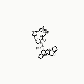 Cn1cc(-c2cncc(CN3CCN(C[C@@H](O)C[C@@H](Cc4ccccc4)C(=O)N[C@H]4c5ccccc5OC[C@H]4O)[C@H](C(=O)NCC(F)(F)F)C3)c2)cn1